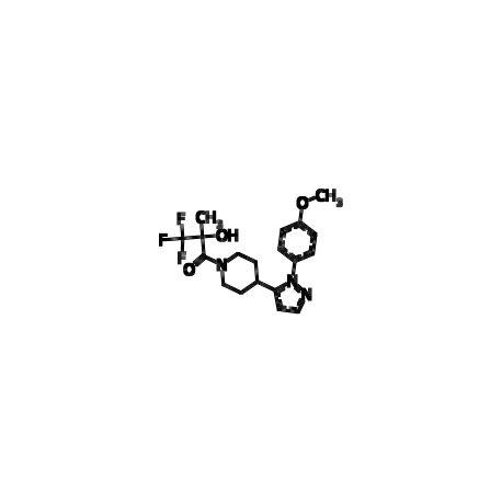 COc1ccc(-n2nccc2C2CCN(C(=O)C(C)(O)C(F)(F)F)CC2)cc1